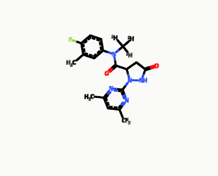 [2H]C([2H])([2H])N(C(=O)C1CC(=O)NN1c1nc(C)cc(C(F)(F)F)n1)c1ccc(F)c(C)c1